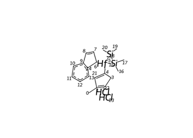 CC1=CC[C]([Hf]2([CH]3C=Cc4ccccc43)[Si](C)(C)[Si]2(C)C)=C1.Cl.Cl